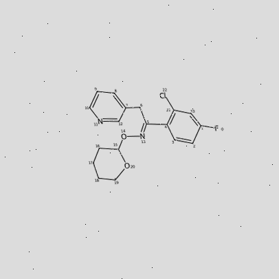 Fc1ccc(C(Cc2cccnc2)=NOC2CCCCO2)c(Cl)c1